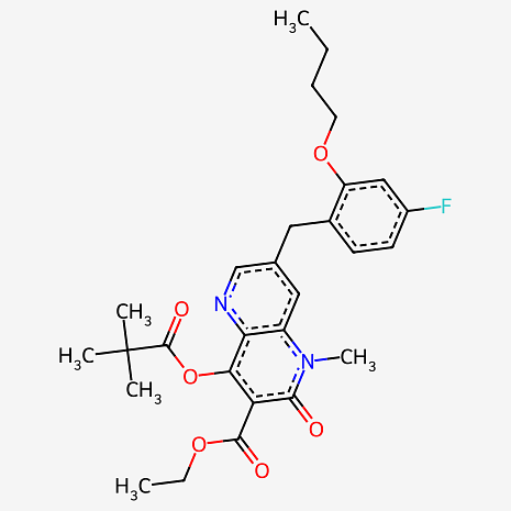 CCCCOc1cc(F)ccc1Cc1cnc2c(OC(=O)C(C)(C)C)c(C(=O)OCC)c(=O)n(C)c2c1